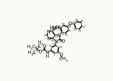 COc1cc(NC(=O)OC(C)(C)C)cc(-n2c(=O)n(-c3ccc(Oc4ccccc4)cc3C)c3c(N)ncnc32)c1